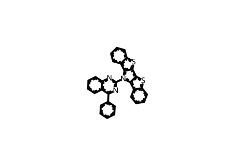 c1ccc(-c2nc(-n3c4c5ccccc5sc4c4sc5ccccc5c43)nc3ccccc23)cc1